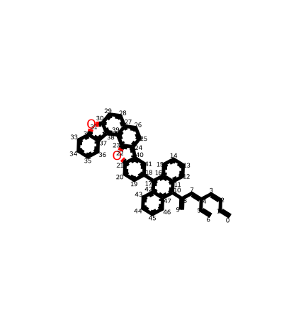 C=C/C=C\C(C=C)=C\C(=C)c1c2ccccc2c(-c2ccc3oc4c(ccc5ccc6oc7ccccc7c6c54)c3c2)c2ccccc12